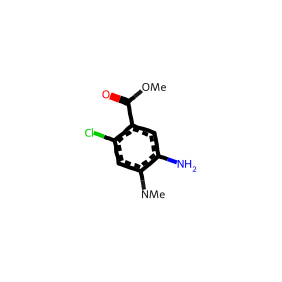 CNc1cc(Cl)c(C(=O)OC)cc1N